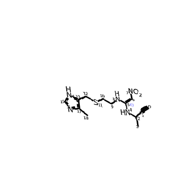 C#CC(C)N/C(=C/[N+](=O)[O-])NCCSCc1[nH]cnc1C